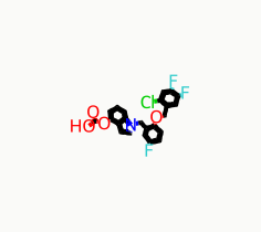 O=C(O)Oc1cccc2c1ccn2Cc1cc(F)ccc1OCc1cc(F)c(F)cc1Cl